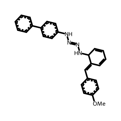 COc1ccc(C=C2C=CC=CC2NN=NNc2ccc(-c3ccccc3)cc2)cc1